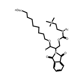 CCCCCCCCCCCCCCCCCCOC(I)C(COC(=O)N(CC[N+](C)(C)C)C(C)=O)N1C(=O)c2ccccc2C1=O